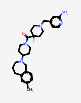 Cc1ccc2c(c1)CCCN(C1CCN(C(=O)C3(F)CCN(Cc4ccnc(N)c4)CC3)CC1)C2